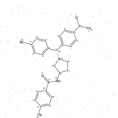 C[S+]([O-])c1ccc([C@@H](c2ccc(C#N)cc2)N2CCC(NC(=O)c3ccc(C#N)cc3)C2)cc1